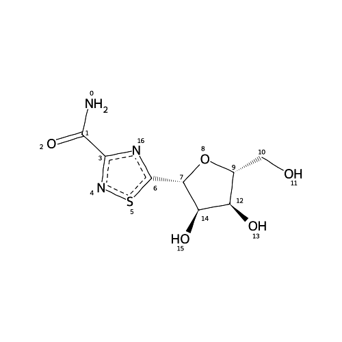 NC(=O)c1nsc([C@@H]2O[C@H](CO)[C@@H](O)[C@H]2O)n1